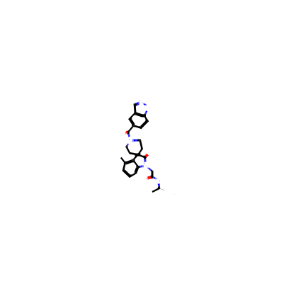 Cc1cccc2c1C1(CCN(C(=O)c3ccc4[nH]ncc4c3)CC1)C(=O)N2CC(=O)N[C@H](C)C(F)(F)F